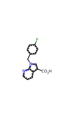 O=C(O)c1cn(Cc2ccc(F)cc2)c2ncccc12